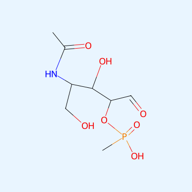 CC(=O)NC(CO)C(O)C(C=O)OP(C)(=O)O